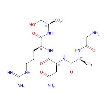 C[C@H](NC(=O)CN)C(=O)N[C@@H](CC(N)=O)C(=O)N[C@@H](CCCNC(=N)N)C(=O)N[C@@H](CO)C(=O)O